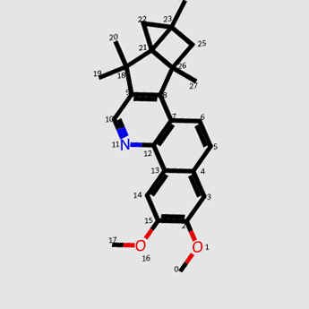 COc1cc2ccc3c4c(cnc3c2cc1OC)C(C)(C)C12CC1(C)CC42C